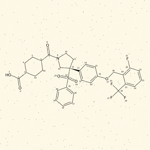 O=C(O)C1CCC(C(=O)N2CC[C@](c3ccc(OCc4c(F)cccc4C(F)(F)F)cc3)(S(=O)(=O)c3ccccc3)C2)CC1